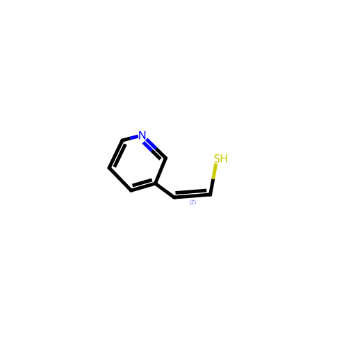 S/C=C\c1cccnc1